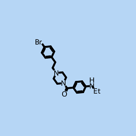 CCNc1ccc(C(=O)N2CCN(CCc3ccc(Br)cc3)CC2)cc1